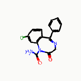 NC(=O)N1C(=O)[CH]N=C(c2ccccc2)c2ccc(Cl)cc21